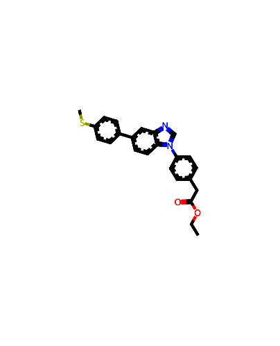 CCOC(=O)Cc1ccc(-n2cnc3cc(-c4ccc(SC)cc4)ccc32)cc1